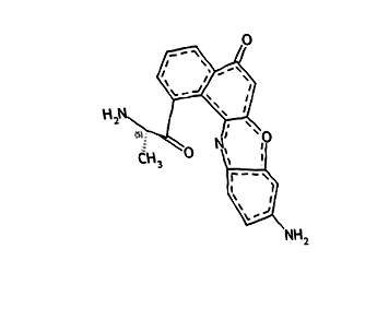 C[C@H](N)C(=O)c1cccc2c(=O)cc3oc4cc(N)ccc4nc-3c12